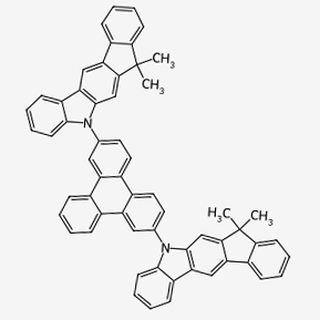 CC1(C)c2ccccc2-c2cc3c4ccccc4n(-c4ccc5c6ccc(-n7c8ccccc8c8cc9c(cc87)C(C)(C)c7ccccc7-9)cc6c6ccccc6c5c4)c3cc21